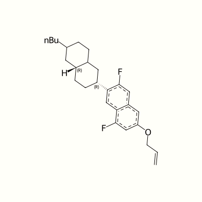 C=CCOc1cc(F)c2cc([C@@H]3CC[C@@H]4CC(CCCC)CCC4C3)c(F)cc2c1